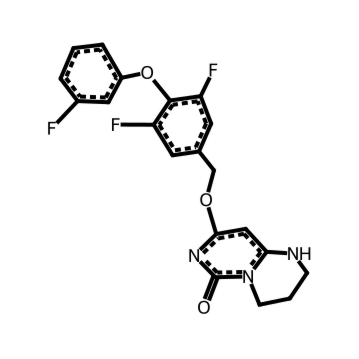 O=c1nc(OCc2cc(F)c(Oc3cccc(F)c3)c(F)c2)cc2n1CCCN2